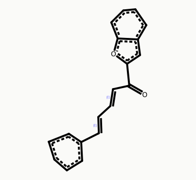 O=C(/C=C/C=C/c1ccccc1)c1cc2ccccc2o1